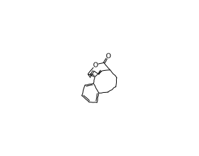 O=C1Oc2cccc3c2-c2ccccc2CCCC13